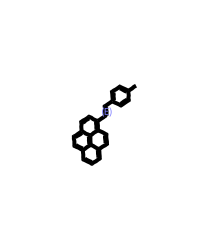 Cc1ccc(/C=C/c2ccc3ccc4cccc5ccc2c3c45)cc1